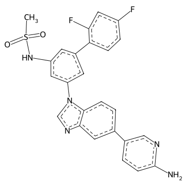 CS(=O)(=O)Nc1cc(-c2ccc(F)cc2F)cc(-n2cnc3cc(-c4ccc(N)nc4)ccc32)c1